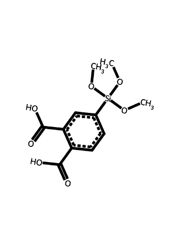 CO[Si](OC)(OC)c1ccc(C(=O)O)c(C(=O)O)c1